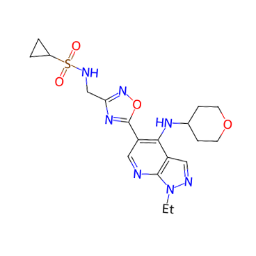 CCn1ncc2c(NC3CCOCC3)c(-c3nc(CNS(=O)(=O)C4CC4)no3)cnc21